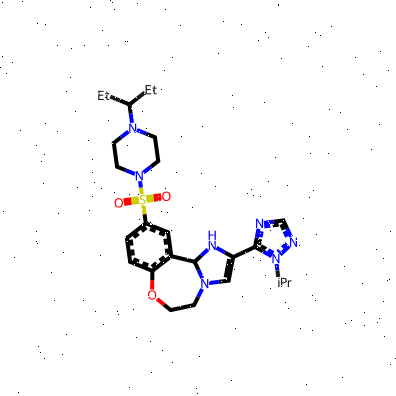 CCC(CC)N1CCN(S(=O)(=O)c2ccc3c(c2)C2NC(c4ncnn4C(C)C)=CN2CCO3)CC1